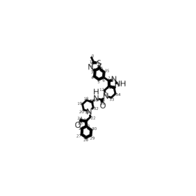 Cc1nc2ccc(-c3n[nH]c4c3CN(C(=O)N[C@@H]3CCCN(Cc5coc6ccccc56)C3)CC4)cc2s1